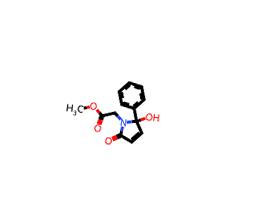 COC(=O)CN1C(=O)C=CC1(O)c1ccccc1